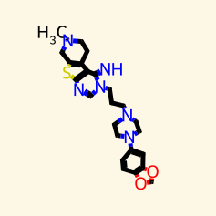 CN1CCc2c(sc3ncn(CCCN4CCN(c5ccc6c(c5)OCO6)CC4)c(=N)c23)C1